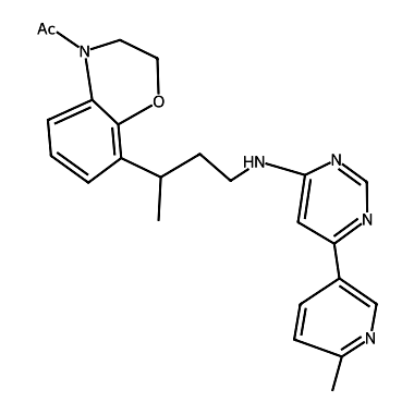 CC(=O)N1CCOc2c(C(C)CCNc3cc(-c4ccc(C)nc4)ncn3)cccc21